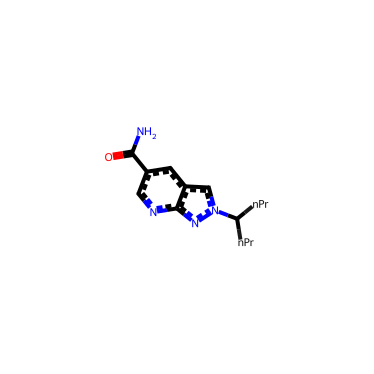 CCCC(CCC)n1cc2cc(C(N)=O)cnc2n1